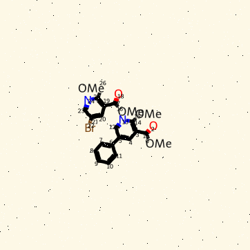 COC(=O)c1cc(-c2ccccc2)cnc1OC.COC(=O)c1cc(Br)cnc1OC